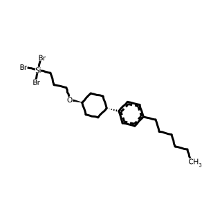 CCCCCCc1ccc([C@H]2CC[C@H](OCCC[Si](Br)(Br)Br)CC2)cc1